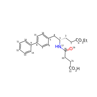 CCOC(=O)CC[C@@H](Cc1ccc(-c2ccccc2)cc1)NC(=O)CCC(=O)O